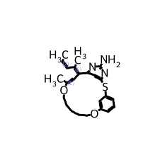 C\C=C/C(C)=C1\C=C(/C)OCCCCCOc2cccc(c2)Sc2cc1nc(N)n2